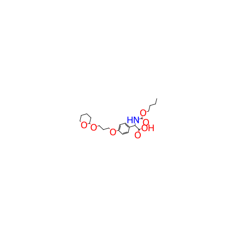 CCCCOC(=O)NC(C(=O)O)c1ccc(OCCCOC2CCCCO2)cc1